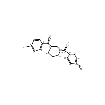 O=C(c1ccc(F)cc1)C1CCCN(C(=O)c2ccc(F)cc2)C1